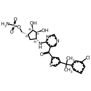 CC(C)(c1cccc(Cl)c1)c1csc(C(=O)c2cncnc2N[C@@H]2C[C@H](COS(N)(=O)=O)[C@@H](O)[C@H]2O)c1